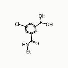 CCNC(=O)c1cc(Cl)cc(B(O)O)c1